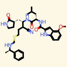 COc1cccc2[nH]c(C(=O)N[C@@H](CC(C)C)C(=O)N[C@@H](C[C@@H]3CCNC3=O)C(C#N)CCSCN[C@H](C)c3ccccc3)cc12